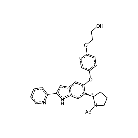 CC(=O)N1CCC[C@@H]1c1cc2[nH]c(-c3ccccn3)cc2cc1Oc1ccc(OCCO)nc1